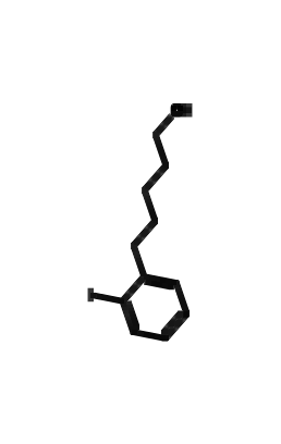 OCCCCCc1ccccc1I